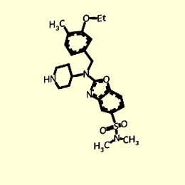 CCOc1cc(CN(c2nc3cc(S(=O)(=O)N(C)C)ccc3o2)C2CCNCC2)ccc1C